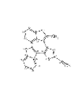 C#Cc1cc(-c2c(C)sc3ccccc23)c(-c2csc3ccccc23)s1